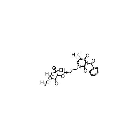 COC(=O)C(OCCCCn1cc(C)c(=O)n(C(=O)c2ccccc2)c1=O)P(C)(C)=O